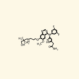 COc1cc2c(N(c3cc(F)cc(F)c3)c3cc(CC(N)=O)[nH]n3)ncnc2cc1OCCCNCC(C)(C)CO